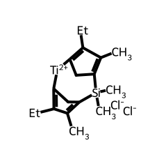 CCC1=[C]2CC(=C1C)[Si](C)(C)C1=C(C)C(CC)=[C](C1)[Ti+2]2.[Cl-].[Cl-]